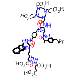 CC(C)Cc1ccc(C(C)C(=O)NCCC(NC(=O)CN2CCN(CC(=O)O)CCN(CC(=O)O)CCN(CC(=O)O)CC2)C(=O)NCC2CCC(C(=O)NC(Cc3ccc4ccccc4c3)C(=O)NCCCCC(NC(=O)NC(CCC(=O)O)C(=O)O)C(=O)O)CC2)cc1